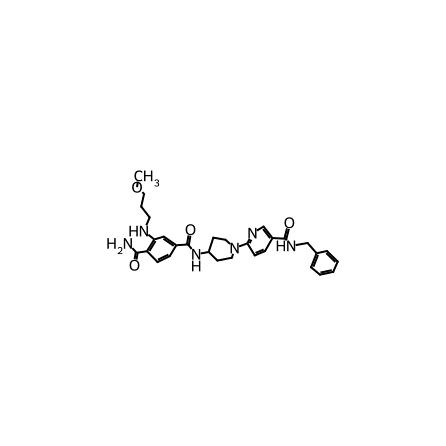 COCCCNc1cc(C(=O)NC2CCN(c3ccc(C(=O)NCc4ccccc4)cn3)CC2)ccc1C(N)=O